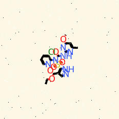 CCOC(=O)c1cn[nH]c1S(=O)(=O)N(C(=O)Nc1nc(C)cc(OC)n1)c1ncccc1Cl